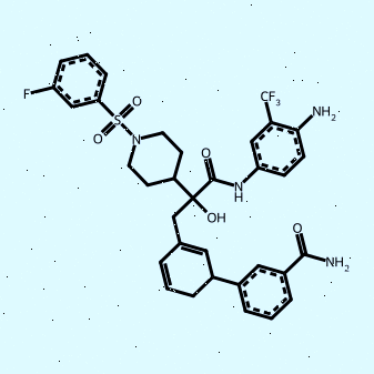 NC(=O)c1cccc(C2C=C(CC(O)(C(=O)Nc3ccc(N)c(C(F)(F)F)c3)C3CCN(S(=O)(=O)c4cccc(F)c4)CC3)C=CC2)c1